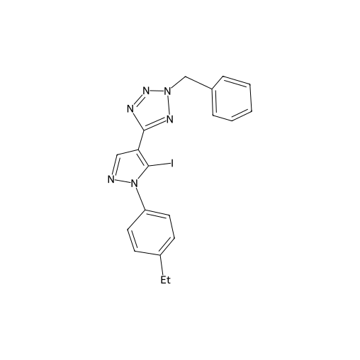 CCc1ccc(-n2ncc(-c3nnn(Cc4ccccc4)n3)c2I)cc1